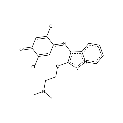 CN(C)CCOc1nn2ccccc2c1/N=C1\C=C(Cl)C(=O)C=C1O